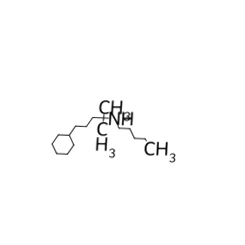 CCCCCNC(C)(C)CCCC1CCCCC1